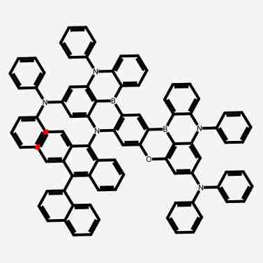 c1ccc(N(c2ccccc2)c2cc3c4c(c2)N(c2ccccc2)c2ccccc2B4c2cc4c(cc2O3)N(c2c3ccccc3c(-c3cccc5ccccc35)c3ccccc23)c2cc(N(c3ccccc3)c3ccccc3)cc3c2B4c2ccccc2N3c2ccccc2)cc1